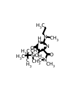 CCCN(C)c1nc(C(=O)N(C)C)c(O[Si](C)(C)C(C)(C)C)c(=O)[nH]1